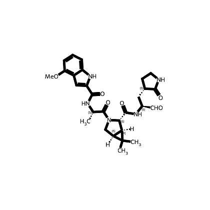 COc1cccc2[nH]c(C(=O)N[C@@H](C)C(=O)N3C[C@H]4[C@@H]([C@H]3C(=O)N[C@H](C=O)C[C@@H]3CCNC3=O)C4(C)C)cc12